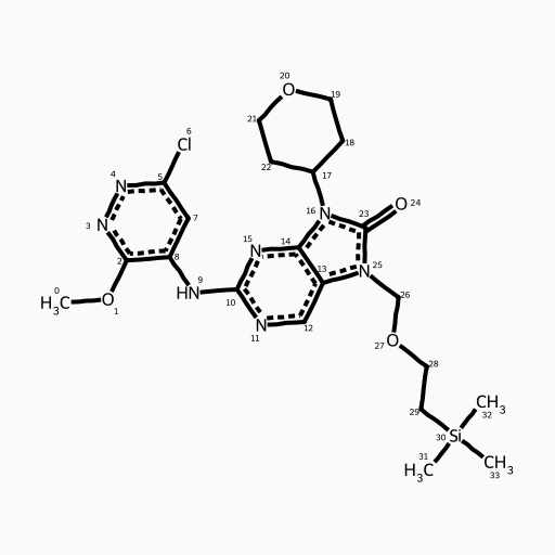 COc1nnc(Cl)cc1Nc1ncc2c(n1)n(C1CCOCC1)c(=O)n2COCC[Si](C)(C)C